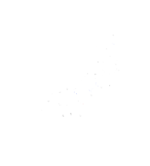 CNC(=O)c1ccc(F)c(-c2ccc(N(CC3CC(F)C3)C(=O)OC(C)(C)C)nn2)c1